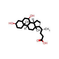 C[C@H](CCC(=O)O)[C@H]1CC[C@H]2C3[C@H](O)CC4C[C@H](O)CCC4(C)[C@H]3CCC12C